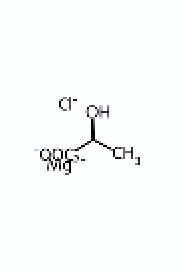 CC(O)C(=O)[O-].[Cl-].[Mg+2]